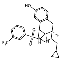 C[C@]12CCC(CC3CC3)[C@H](Cc3ccc(O)cc31)[C@H]2NS(=O)(=O)c1cccc(C(F)(F)F)c1